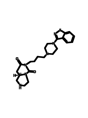 O=C1C[C@@H]2CNCCN2C(=O)N1CCCCN1CCN(c2nsc3ccccc23)CC1